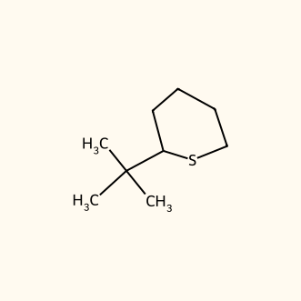 CC(C)(C)C1CCCCS1